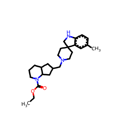 CCOC(=O)N1CCCC2CC(CN3CCC4(CC3)CNc3ccc(C)cc34)CC21